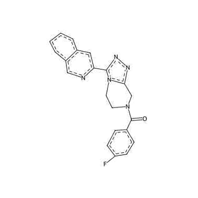 O=C(c1ccc(F)cc1)N1CCn2c(nnc2-c2cc3ccccc3cn2)C1